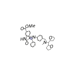 COC(=O)c1ccc2c(c1)NC(=O)/C2=C(/Nc1ccc(CN(C)C(C2CCCO2)C2CCCO2)cc1)c1ccccc1